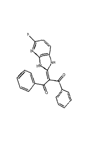 O=C(C(C(=O)c1ccccc1)=C1Nc2ccc(F)nc2N1)c1ccccc1